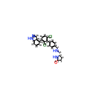 O=C1CC[C@@H](CNCc2ccc(-c3c(Cl)ccc(-c4cccc5[nH]ncc45)c3Cl)cc2)N1